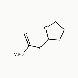 COC(=O)OC1CCCO1